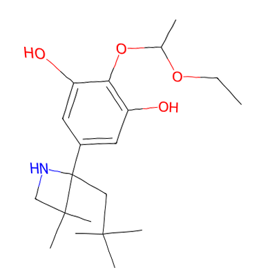 CCOC(C)Oc1c(O)cc(C2(CC(C)(C)C)NCC2(C)C)cc1O